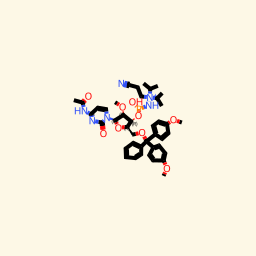 COc1ccc(C(OC[C@H]2O[C@@H](n3ccc(NC(C)=O)nc3=O)[C@H](OC)[C@@H]2OP(O)N[N+](CCC#N)(C(C)C)C(C)C)(c2ccccc2)c2ccc(OC)cc2)cc1